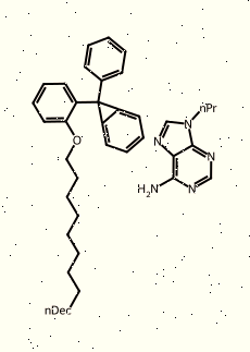 CCCCCCCCCCCCCCCCCCOc1ccccc1C1(c2ccccc2)c2ccccc21.CCCn1cnc2c(N)ncnc21